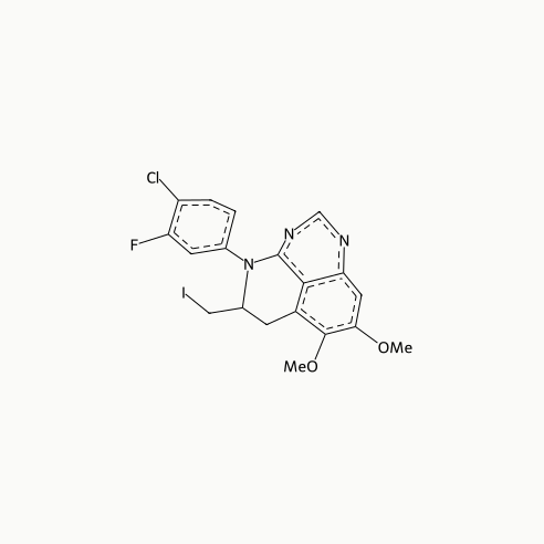 COc1cc2ncnc3c2c(c1OC)CC(CI)N3c1ccc(Cl)c(F)c1